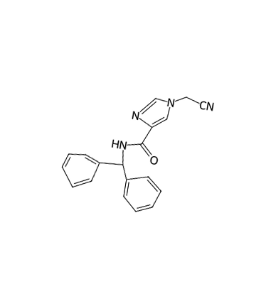 N#CCn1cnc(C(=O)NC(c2ccccc2)c2ccccc2)c1